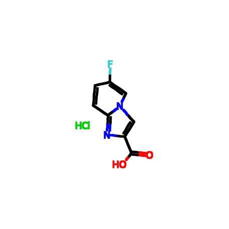 Cl.O=C(O)c1cn2cc(F)ccc2n1